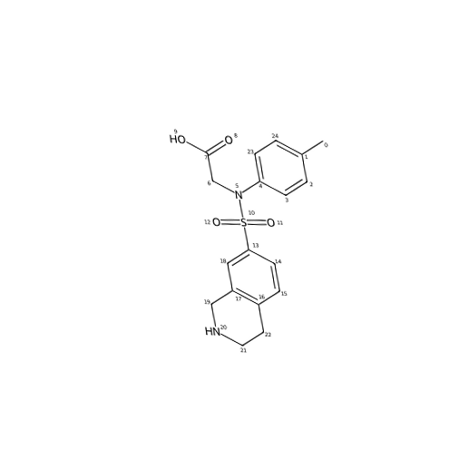 Cc1ccc(N(CC(=O)O)S(=O)(=O)c2ccc3c(c2)CNCC3)cc1